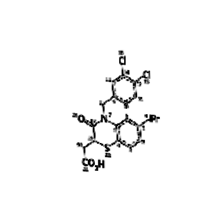 CC(C)c1ccc2c(c1)N(Cc1ccc(Cl)c(Cl)c1)C(=O)C(CC(=O)O)S2